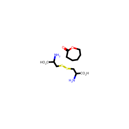 NC(CSSCC(N)C(=O)O)C(=O)O.O=C1CCCCCO1